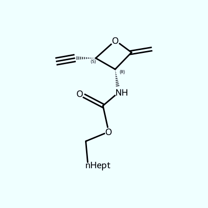 C#C[C@@H]1OC(=C)[C@@H]1NC(=O)OCCCCCCCC